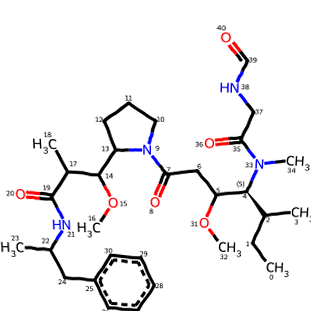 CCC(C)[C@@H](C(CC(=O)N1CCCC1C(OC)C(C)C(=O)NC(C)Cc1ccccc1)OC)N(C)C(=O)CNC=O